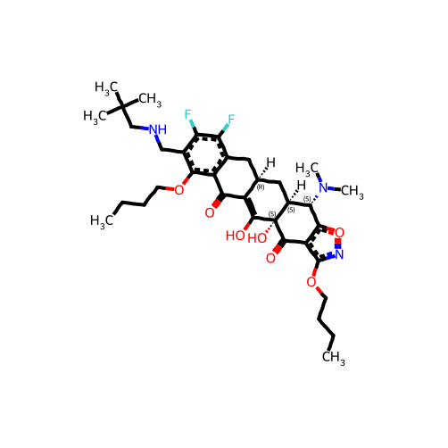 CCCCOc1noc2c1C(=O)[C@@]1(O)C(O)=C3C(=O)c4c(c(F)c(F)c(CNCC(C)(C)C)c4OCCCC)C[C@H]3C[C@H]1[C@@H]2N(C)C